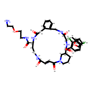 NCCOCCNC(=O)[C@@H]1CCNC(=O)/C=C/C(=O)N2CCC[C@@](Cc3ccc(F)cc3Cl)(C2)C(=O)N[C@@H](Cc2ccco2)C(=O)NCc2ccccc2CC(=O)N1